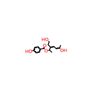 C/C(O)=C\C=C(\CCO)C(C)OC(=O)c1ccc(O)cc1